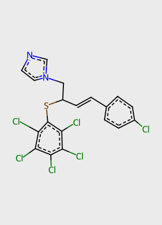 Clc1ccc(/C=C/C(Cn2ccnc2)Sc2c(Cl)c(Cl)c(Cl)c(Cl)c2Cl)cc1